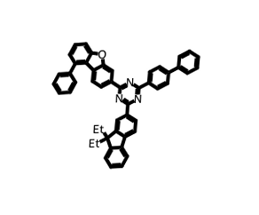 CCC1(CC)c2ccccc2-c2ccc(-c3nc(-c4ccc(-c5ccccc5)cc4)nc(-c4ccc5c(c4)oc4cccc(-c6ccccc6)c45)n3)cc21